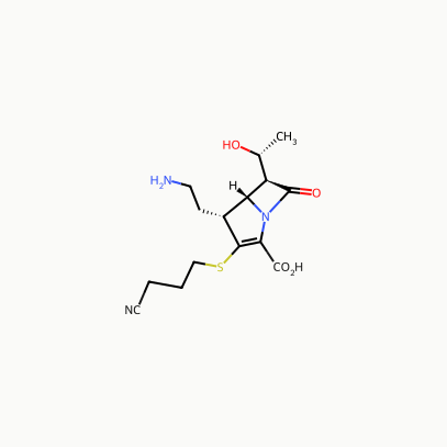 C[C@@H](O)[C@H]1C(=O)N2C(C(=O)O)=C(SCCCC#N)[C@H](CCN)[C@H]12